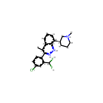 Cc1c(-c2ccc(Cl)cc2C(F)F)nnc2c([C@@H]3CCCN(C)C3)cccc12